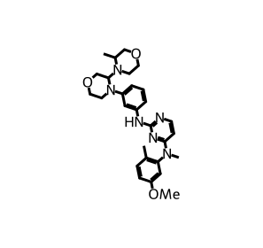 COc1ccc(C)c(N(C)c2ccnc(Nc3cccc(N4CCOCC4N4CCOCC4C)c3)n2)c1